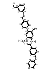 CC(C)c1cc(NC(=O)c2ccc(Oc3ccccc3)cc2)c(C(=O)O)cc1-c1ccc(COc2cccc(CF)c2)cc1